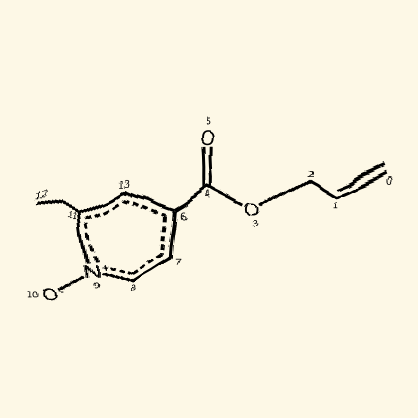 C=CCOC(=O)c1cc[n+]([O-])c(C)c1